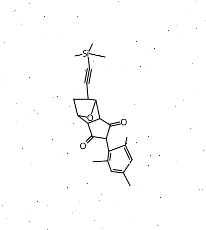 Cc1cc(C)c(C2C(=O)C3C4CC(C#C[Si](C)(C)C)C(O4)C3C2=O)c(C)c1